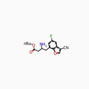 CCCCOC(=O)CC(N)Cc1cc(F)cc2c(C#N)coc12